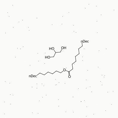 CCCCCCCCCCCCCCCCCC(=O)OCCCCCCCCCCCCCCCC.OCC(O)CO